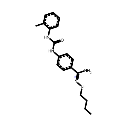 CCCCN/N=C(\N)c1ccc(NC(=O)Nc2ccccc2C)cc1